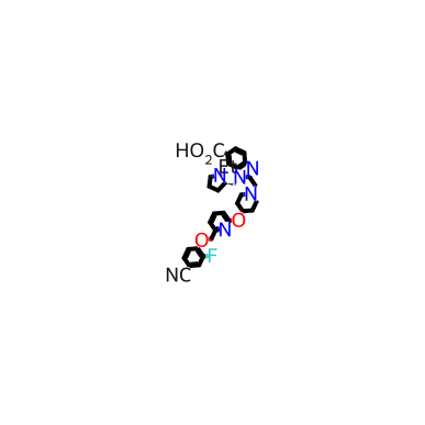 CCN1CCC[C@H]1Cn1c(CN2CCC(Oc3cccc(COc4ccc(C#N)cc4F)n3)CC2)nc2ccc(C(=O)O)cc21